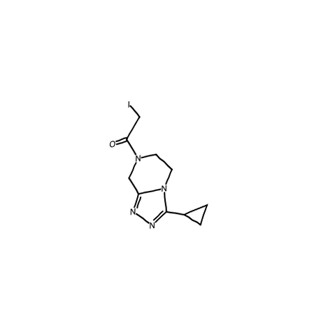 O=C(CI)N1CCn2c(nnc2C2CC2)C1